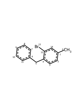 Cc1ccc(Cc2ccccc2)c(Br)c1